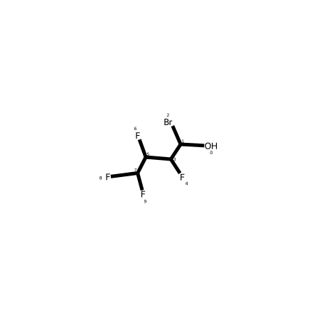 OC(Br)C(F)C(F)C(F)F